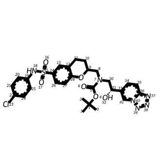 CC(C)(C)OC(=O)N(CC1CCc2cc(S(=O)(=O)Nc3ccc(Cl)cc3)ccc2O1)C[C@@H](O)c1ccc2nnnn2c1